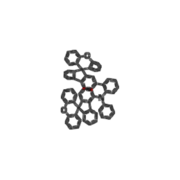 c1ccc(N(c2ccccc2-c2ccc3c(c2)C2(c4ccccc4Oc4ccccc42)c2ccccc2-3)c2cccc3c2-c2ccccc2C32c3ccccc3Oc3ccccc32)cc1